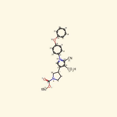 CC(C)(C)OC(=O)N1CCC(c2cn(-c3ccc(Oc4ccccc4)cc3)c(C#N)c2C(=O)O)C1